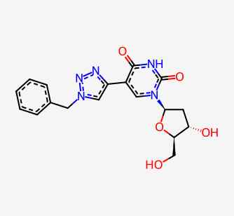 O=c1[nH]c(=O)n([C@H]2C[C@H](O)[C@@H](CO)O2)cc1-c1cn(Cc2ccccc2)nn1